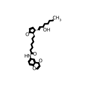 CCCCC[C@H](O)/C=C/[C@H]1C=CC(=O)[C@@H]1CCCCCCC(=O)Nc1ccc2occc(=O)c2c1